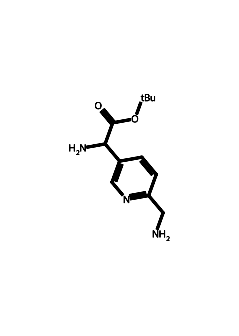 CC(C)(C)OC(=O)C(N)c1ccc(CN)nc1